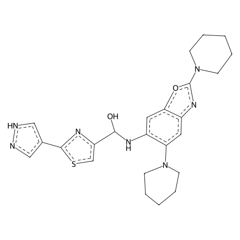 OC(Nc1cc2oc(N3CCCCC3)nc2cc1N1CCCCC1)c1csc(-c2cn[nH]c2)n1